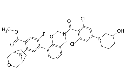 COC(=O)c1cc(F)c(-c2cccc3c2OCN(C(=O)c2c(Cl)cc(N4CCCC(O)C4)cc2Cl)C3)cc1N1C2CCC1COC2